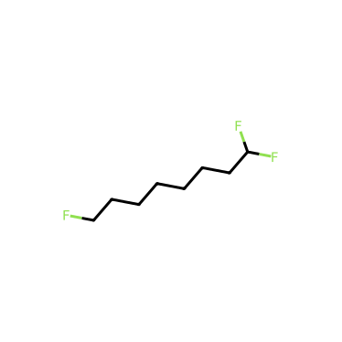 FCCCCCCCC(F)F